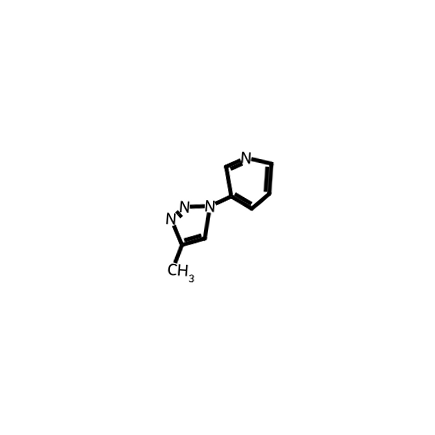 Cc1cn(-c2cccnc2)nn1